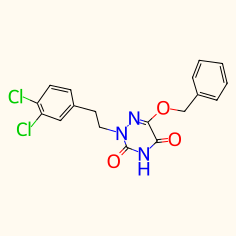 O=c1[nH]c(=O)n(CCc2ccc(Cl)c(Cl)c2)nc1OCc1ccccc1